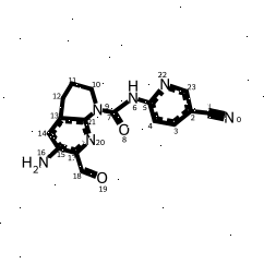 N#Cc1ccc(NC(=O)N2CCCc3cc(N)c(C=O)nc32)nc1